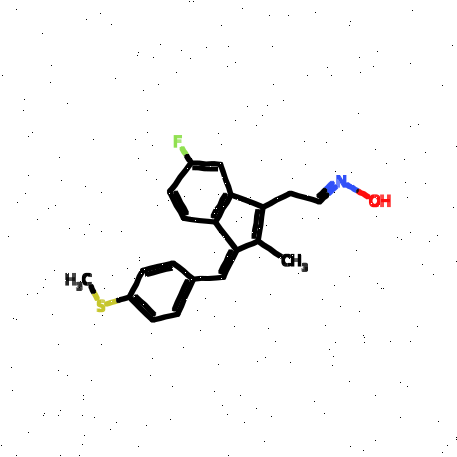 CSc1ccc(/C=C2/C(C)=C(CC=NO)c3cc(F)ccc32)cc1